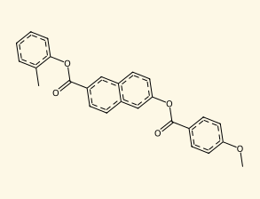 COc1ccc(C(=O)Oc2ccc3cc(C(=O)Oc4ccccc4C)ccc3c2)cc1